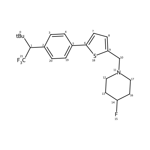 CC(C)(C)C(c1ccc(-c2ccc(CN3CCC(F)CC3)s2)cc1)C(F)(F)F